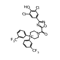 O=C(c1nc(-c2cc(Cl)c(O)c(Cl)c2)no1)N1CC[N+](c2cccc(C(F)(F)F)c2)(c2cccc(C(F)(F)F)c2)CC1